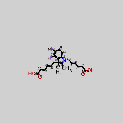 CC1=[N+](CCCCCC(=O)O)c2cc(I)c(I)c(I)c2C1(C)CCCCCC(=O)O